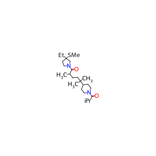 CCC1(SC)CCN(C(=O)C(C)CCC(C)(C)C2CCN(C(=O)C(C)C)CC2)C1